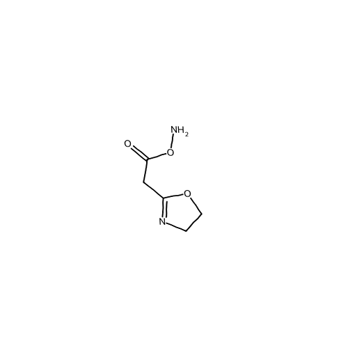 NOC(=O)CC1=NCCO1